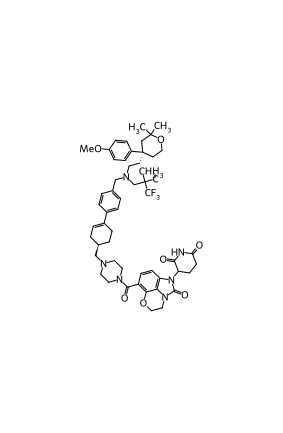 COc1ccc([C@]2(CCN(Cc3ccc(C4=CC[C@H](CN5CCN(C(=O)c6ccc7c8c6OCCn8c(=O)n7C6CCC(=O)NC6=O)CC5)CC4)cc3)CC(C)(C)C(F)(F)F)CCOC(C)(C)C2)cc1